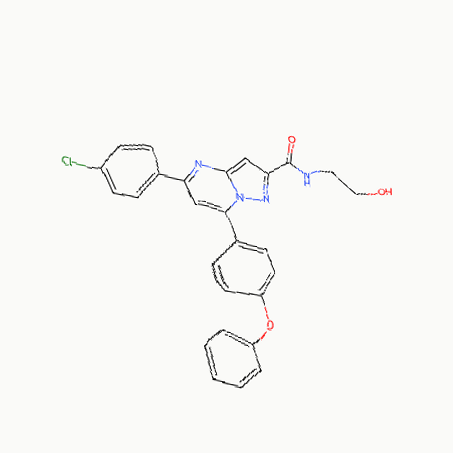 O=C(NCCO)c1cc2nc(-c3ccc(Cl)cc3)cc(-c3ccc(Oc4ccccc4)cc3)n2n1